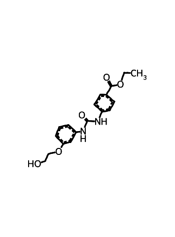 CCOC(=O)c1ccc(NC(=O)Nc2cccc(OCCO)c2)cc1